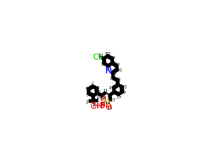 CC(C)(O)c1ccccc1CC[C@H](CS(=O)(=O)O)c1cccc(/C=C/c2ccc3ccc(Cl)cc3n2)c1